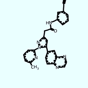 Cc1cccc(-n2nc(CC(=O)Nc3cccc(C#N)c3)cc2-c2ccc3nccnc3c2)n1